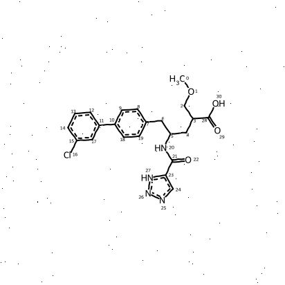 COCC(CC(Cc1ccc(-c2cccc(Cl)c2)cc1)NC(=O)c1cnn[nH]1)C(=O)O